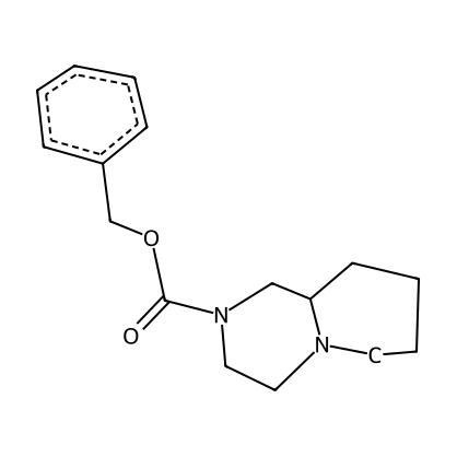 O=C(OCc1ccccc1)N1CCN2CCCCC2C1